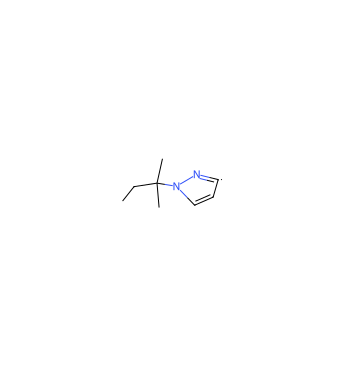 CCC(C)(C)n1cc[c]n1